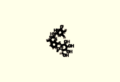 COc1ccc2c(C)nc(Nc3nc(C)c(C)c(=O)[nH]3)nc2c1S[C@H]1O[C@@H](CO)[C@H](O)[C@@H](O)[C@@H]1O